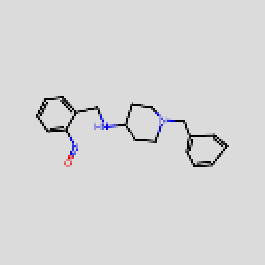 O=Nc1ccccc1CNC1CCN(Cc2ccccc2)CC1